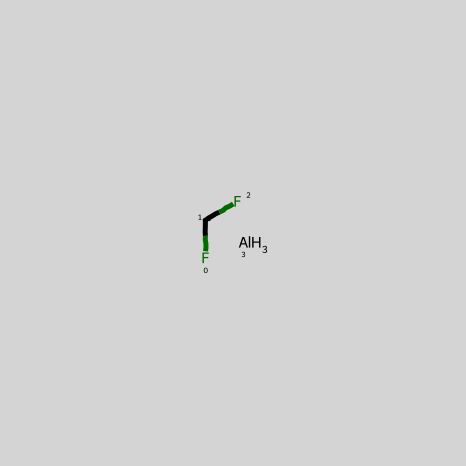 F[CH]F.[AlH3]